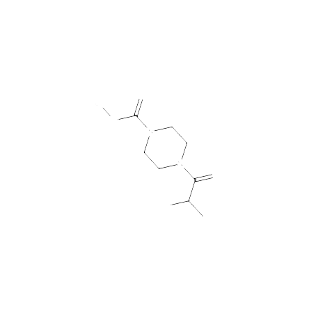 CC(O)C(=O)N1CCN(C(=O)OC(C)(C)C)CC1